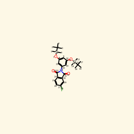 CC(C)(C)[Si](C)(C)Oc1cc(O[Si](C)(C)C(C)(C)C)cc(N2C(=O)c3ccc(F)cc3C2=O)c1